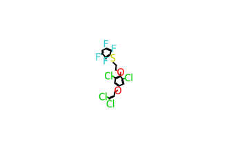 Fc1cc(F)c(F)c(SCCCOc2c(Cl)cc(OCC=C(Cl)Cl)cc2Cl)c1F